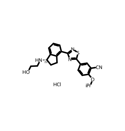 CC(C)Oc1ccc(-c2nc(-c3cccc4c3CC[C@@H]4NCCO)ns2)cc1C#N.Cl